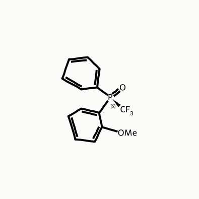 COc1ccccc1[P@@](=O)(c1ccccc1)C(F)(F)F